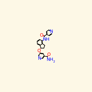 NC(=O)c1cncc(OC2CCc3c(NC(=O)c4ccncc4)cccc32)c1